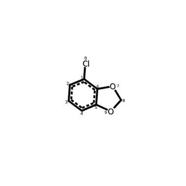 Clc1[c]ccc2c1OCO2